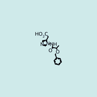 CC(OCc1ccccc1)C(=O)Nn1cncc1CC(=O)O